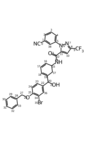 N#Cc1cccc(-n2nc(C(F)(F)F)cc2C(=O)NC2C=CC=C(C(O)c3ccc(OCc4ccccc4)c(Br)c3)C2)c1